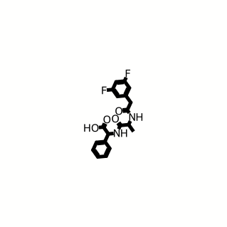 CC(NC(=O)Cc1cc(F)cc(F)c1)C(=O)NC(C(=O)O)c1ccccc1